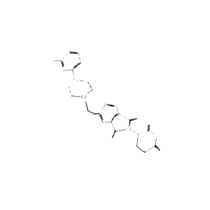 O=C1CCC(N2C(=O)c3ccc(CN4CCN(c5cccc(F)n5)CC4)cc3C2=O)C(=O)N1